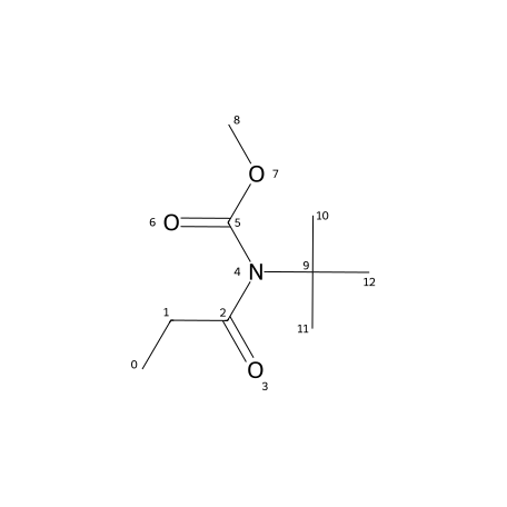 CCC(=O)N(C(=O)OC)C(C)(C)C